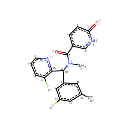 CN(C(=O)c1ccc(=O)[nH]c1)[C@@H](c1cc(F)cc(C(F)(F)F)c1)c1ncccc1F